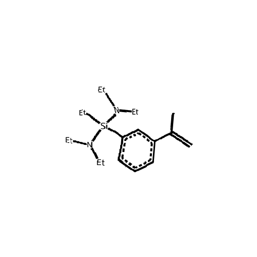 C=C(C)c1cccc([Si](CC)(N(CC)CC)N(CC)CC)c1